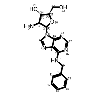 NC1[C@H](n2cnc3c(NCc4ccccc4)ncnc32)O[C@H](CO)[C@H]1O